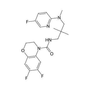 CN(CC(C)(C)CNC(=O)N1CCOc2cc(F)c(F)cc21)c1ccc(F)cn1